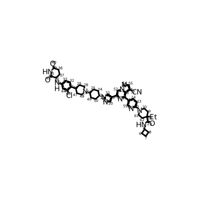 CCC1(C(=O)NC2CCC2)CCN(c2ccc(-c3nc(-c4cnn([C@H]5CC[C@H](N6CCC(c7ccc(N[C@H]8CCC(=O)NC8=O)cc7Cl)CC6)CC5)c4)cn4ncc(C#N)c34)cn2)CC1